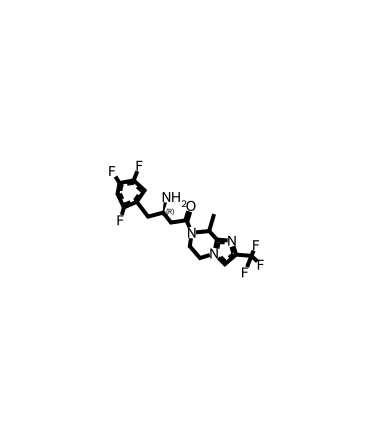 CC1c2nc(C(F)(F)F)cn2CCN1C(=O)C[C@H](N)Cc1cc(F)c(F)cc1F